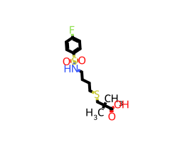 CC(C)(CSCCCCNS(=O)(=O)c1ccc(F)cc1)C(=O)O